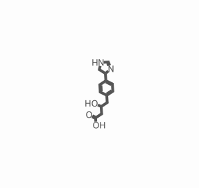 O=C(O)CC(O)Cc1ccc(C2CNC=N2)cc1